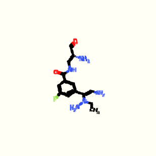 CCN(N)/C(=C\N)c1cc(F)cc(C(=O)NC[C@@H](N)C=O)c1